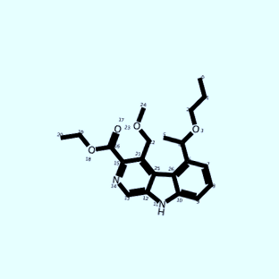 CCCOC(C)c1cccc2[nH]c3cnc(C(=O)OCC)c(COC)c3c12